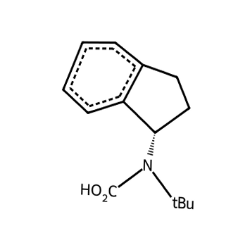 CC(C)(C)N(C(=O)O)[C@H]1CCc2ccccc21